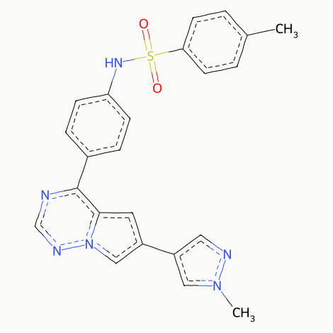 Cc1ccc(S(=O)(=O)Nc2ccc(-c3ncnn4cc(-c5cnn(C)c5)cc34)cc2)cc1